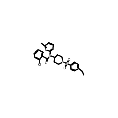 CCc1ccc(S(=O)(=O)N2CCC(N(C(=O)c3ccccc3Cl)c3cccc(C)n3)CC2)cc1